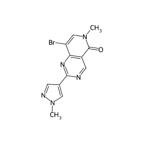 Cn1cc(-c2ncc3c(=O)n(C)cc(Br)c3n2)cn1